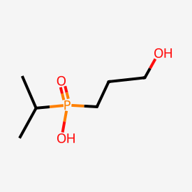 CC(C)P(=O)(O)CCCO